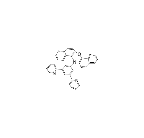 c1ccc(-c2cc(-c3ccccn3)cc(N3c4ccc5ccccc5c4Oc4ccc5ccccc5c43)c2)nc1